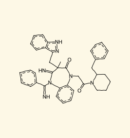 CC1(Cc2n[nH]c3ccccc23)C(=N)N(C(=N)c2ccccc2)c2ccccc2N(CC(=O)N2CCCCC2Cc2ccccc2)C1=O